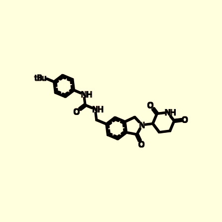 CC(C)(C)c1ccc(NC(=O)NCc2ccc3c(c2)CN(C2CCC(=O)NC2=O)C3=O)cc1